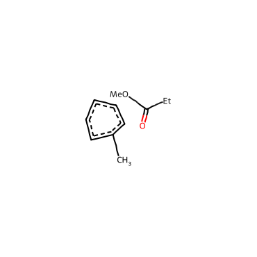 CCC(=O)OC.Cc1ccccc1